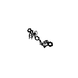 COc1ccccc1C1CC1CNCCC1CCC(NC(=O)c2cc3ccccc3[nH]2)CC1